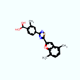 Cc1cc(-c2nsc(-c3cc4c(C)ccc(C)c4o3)n2)ccc1C(O)O